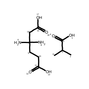 CC(C)C(=O)O.NC(N)(CCC(=O)O)CC(=O)O